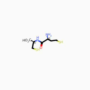 N[C@@H](CCS)C(=O)N[C@@H](CS)C(=O)O